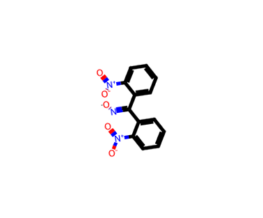 [O]N=C(c1ccccc1[N+](=O)[O-])c1ccccc1[N+](=O)[O-]